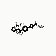 COC(=O)C1CC(c2ccc(C(=O)CC3(C(=O)O)CCCN3C(=O)OC(C)(C)C)cc2)C1